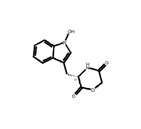 O=C1COC(=O)[C@H](Cc2cn(O)c3ccccc23)N1